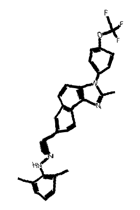 Cc1cccc(C)c1N/N=C/c1ccc2c(ccc3c2nc(C)n3-c2ccc(OC(F)(F)F)cc2)c1